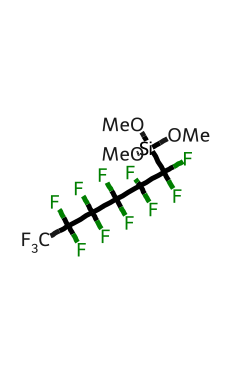 CO[Si](OC)(OC)C(F)(F)C(F)(F)C(F)(F)C(F)(F)C(F)(F)C(F)(F)F